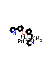 CC(C)(Cc1cccc(Oc2cccc(-c3ccccn3)c2)c1)c1ccccn1.[Pd]